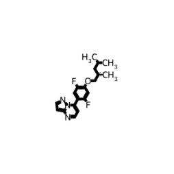 CC(C)C[C@@H](C)COc1cc(F)c(-c2ccnc3ccnn23)cc1F